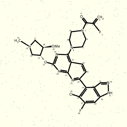 C=C(F)C(=O)N1CCN(c2nc(O[C@@H]3CN(C)C[C@H]3OC)nc3nc(-c4c(Cl)c(F)cc5[nH]ncc45)ccc23)CC1